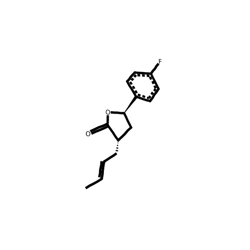 C/C=C/C[C@H]1C[C@H](c2ccc(F)cc2)OC1=O